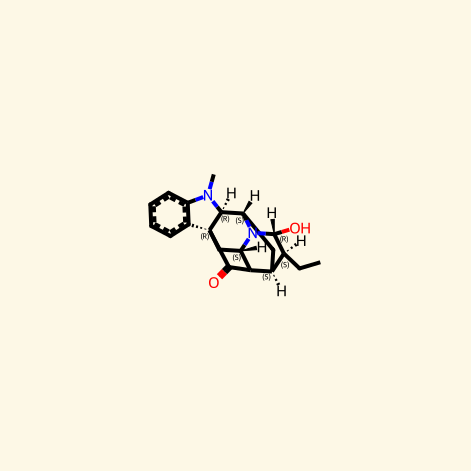 CC[C@H]1[C@@H]2C[C@H]3[C@@H]4N(C)c5ccccc5[C@]45C[C@@H](C2C5=O)N3[C@@H]1O